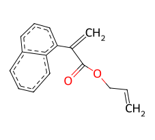 C=CCOC(=O)C(=C)c1cccc2ccccc12